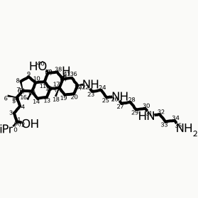 CC(C)[C@H](O)CC[C@@H](C)[C@H]1CCC2C3C(CC[C@@]21C)[C@@]1(C)CC[C@H](NCCCNCCCCNCCCN)C[C@H]1C[C@@H]3O